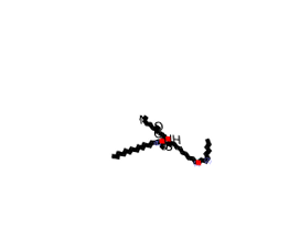 CCCCC/C=C\C/C=C\CCCCCCCC(=O)NC(COC(=O)CCCN(C)C)C(/C=C/CCCCCCCCCCCCC)OC